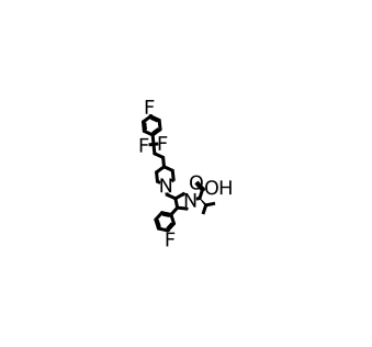 CC(C)[C@H](C(=O)O)N1CC(CN2CCC(CCC(F)(F)c3ccc(F)cc3)CC2)C(c2cccc(F)c2)C1